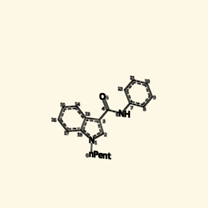 CCCCCn1cc(C(=O)Nc2ccccc2)c2ccccc21